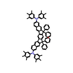 Cc1cc(N(c2cc(C)c(C)c(C)c2)c2ccc3cc4c(cc3c2)C(c2ccccc2)(c2ccccc2)c2cc3c(cc2-4)-c2cc4ccc(N(c5cc(C)c(C)c(C)c5)c5cc(C)c(C)c(C)c5)cc4cc2C3(c2ccccc2)c2ccccc2)cc(C)c1C